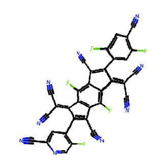 N#CC(C#N)=C1C(c2cc(C#N)ncc2F)=C(C#N)c2c(F)c3c(c(F)c21)C(C#N)=C(c1cc(F)c(C#N)cc1F)C3=C(C#N)C#N